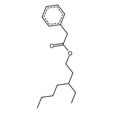 CCCCC(CC)CCOC(=O)Cc1ccccc1